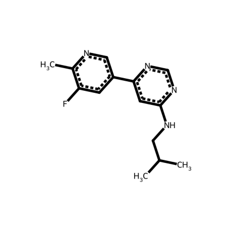 Cc1ncc(-c2cc(NCC(C)C)ncn2)cc1F